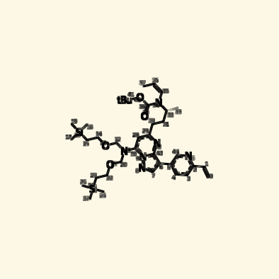 C=Cc1ccc(-c2cnn3c(N(COCC[Si](C)(C)C)COCC[Si](C)(C)C)cc(CC[C@@H](C)N(/C=C\C)C(=O)OC(C)(C)C)nc23)cn1